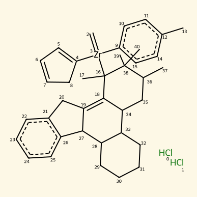 Cl.Cl.[CH2]=[Zr]([C]1=CC=CC1)([c]1ccc(C)cc1)[C]1(C)C2=C3Cc4ccccc4C3C3CCCCC3C2CC(C)C1(C)C